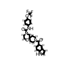 O=C(Nc1ccc(OC(F)(F)F)cc1)N1CCOC2(CCN(C(=O)c3ccc4[nH]ccc4c3)CC2)C1